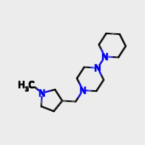 CN1CCC(CN2CCN(N3CCCCC3)CC2)C1